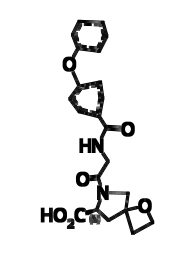 O=C(NCC(=O)N1CC2(CCO2)C[C@H]1C(=O)O)c1ccc(Oc2ccccc2)cc1